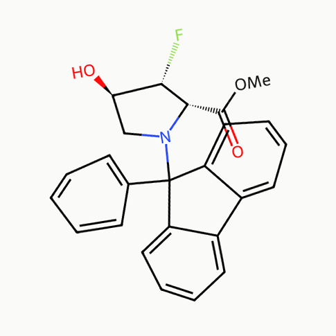 COC(=O)[C@H]1[C@@H](F)[C@H](O)CN1C1(c2ccccc2)c2ccccc2-c2ccccc21